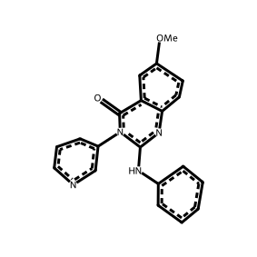 COc1ccc2nc(Nc3ccccc3)n(-c3cccnc3)c(=O)c2c1